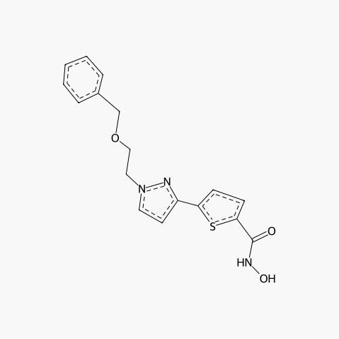 O=C(NO)c1ccc(-c2ccn(CCOCc3ccccc3)n2)s1